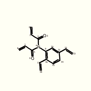 C=CC(=O)N(C(=O)C=C)c1cc(C=C)ccc1C=C